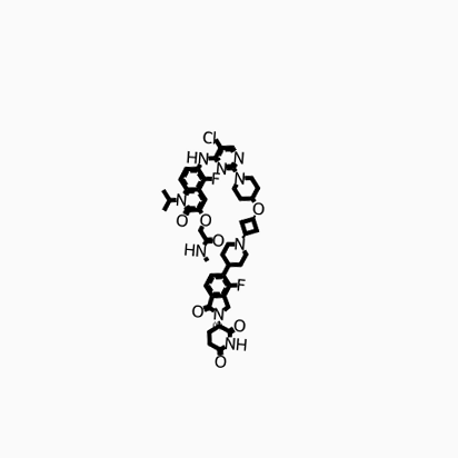 CNC(=O)COc1cc2c(F)c(Nc3nc(N4CCC(O[C@H]5C[C@H](N6CCC(c7ccc8c(c7F)CN([C@H]7CCC(=O)NC7=O)C8=O)CC6)C5)CC4)ncc3Cl)ccc2n(C(C)C)c1=O